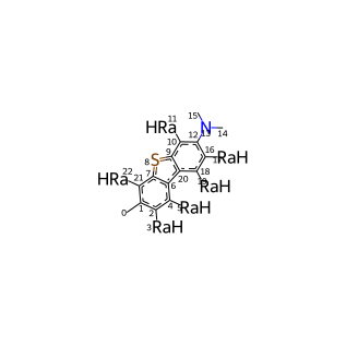 Cc1[c]([RaH])[c]([RaH])c2c(sc3[c]([RaH])c(N(C)C)[c]([RaH])[c]([RaH])c32)[c]1[RaH]